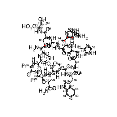 CC[C@H](C)[C@H](N)C(=O)N[C@@H](CS)C(=O)N[C@H](C(=O)N[C@H](C(=O)N[C@@H](CCC(N)=O)C(=O)N[C@@H](CC(=O)O)C(=O)N[C@@H](Cc1c[nH]c2ccccc12)C(=O)NCC(=O)N[C@@H](Cc1c[nH]cn1)C(=O)N[C@@H](Cc1c[nH]cn1)C(=O)N[C@@H](CCCNC(=N)N)C(=O)N[C@@H](CS)C(=O)N[C@H](C(=O)O)[C@@H](C)O)C(C)C)C(C)C